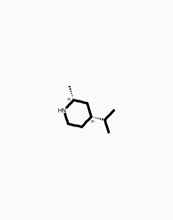 CC(C)[C@@H]1CCN[C@H](C)C1